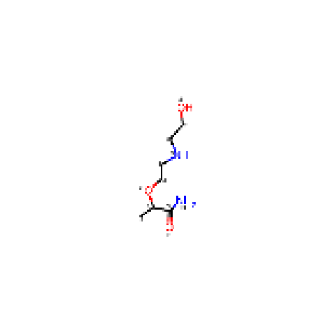 CC(OCCNCCO)C(N)=O